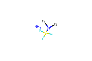 CCN(CC)S(F)(F)F.N